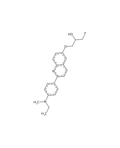 CCN(C)c1ccc(-c2ccc3cc(OCC(O)CF)ccc3n2)cc1